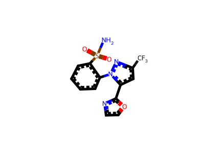 NS(=O)(=O)c1ccccc1-n1nc(C(F)(F)F)cc1-c1ncco1